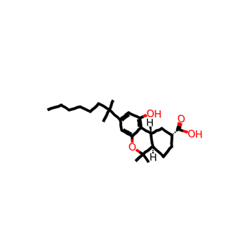 CCCCCCC(C)(C)c1cc(O)c2c(c1)OC(C)(C)[C@@H]1CC[C@@H](C(=O)O)C[C@@H]21